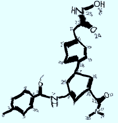 Cc1ccc(C(=O)Nc2cc(C(=O)N(C)C)cc(-c3ccc(CC(=O)NO)cc3)c2)cc1